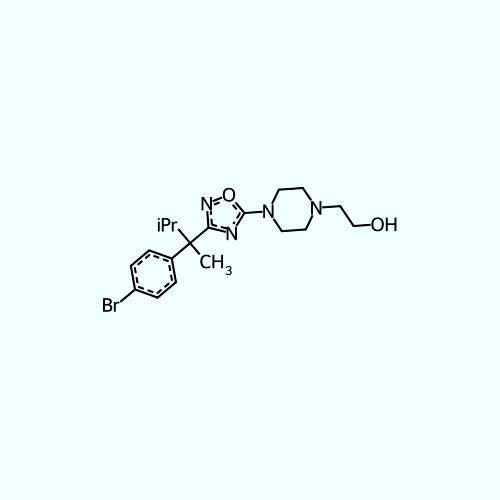 CC(C)C(C)(c1ccc(Br)cc1)c1noc(N2CCN(CCO)CC2)n1